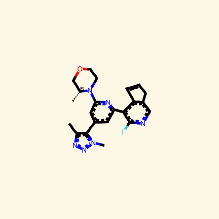 Cc1nnn(C)c1-c1cc(-c2c(F)ncc3c2C=CC3)nc(N2CCOC[C@H]2C)c1